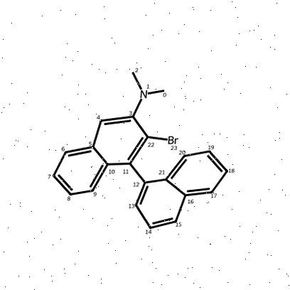 CN(C)c1cc2ccccc2c(-c2cccc3ccccc23)c1Br